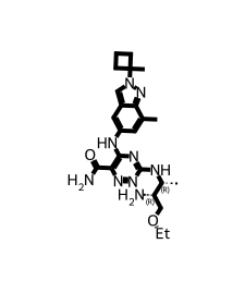 CCOC[C@H](N)[C@@H](C)Nc1nnc(C(N)=O)c(Nc2cc(C)c3nn(C4(C)CCC4)cc3c2)n1